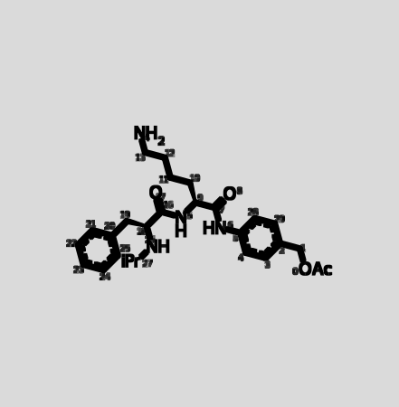 CC(=O)OCc1ccc(NC(=O)[C@H](CCCCN)NC(=O)[C@H](Cc2ccccc2)NC(C)C)cc1